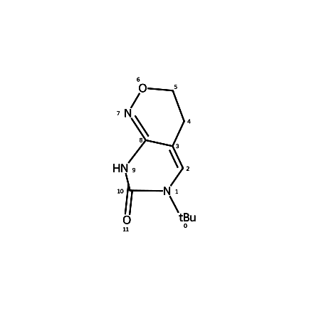 CC(C)(C)N1C=C2CCON=C2NC1=O